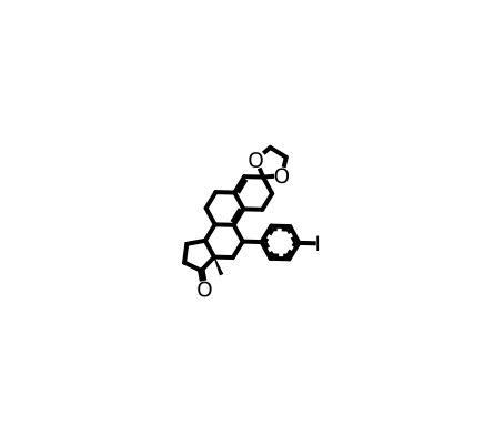 C[C@]12CC(c3ccc(I)cc3)C3=C4CCC5(C=C4CCC3C1CCC2=O)OCCO5